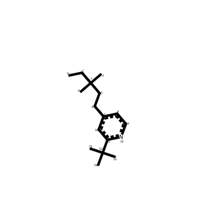 CCC(C)(C)CCc1ccnc(C(C)(C)C)c1